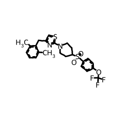 Cc1cccc(C)c1Cc1csc(N2CCC(S(=O)(=O)c3ccc(OC(F)(F)F)cc3)CC2)n1